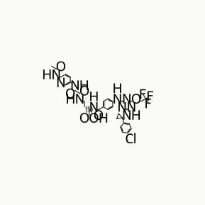 CC(=O)Nc1ccc(NC(=O)C(=O)NCC[C@H](NC(=O)c2ccc(Nc3nc(NC4(c5ccc(Cl)cc5)CC4)nc(OCC(F)(F)F)n3)cc2)C(=O)O)cn1